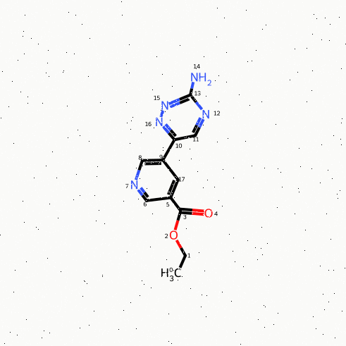 CCOC(=O)c1cncc(-c2cnc(N)nn2)c1